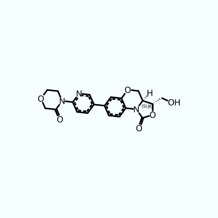 O=C1COCCN1c1ccc(-c2ccc3c(c2)OC[C@H]2[C@H](CO)OC(=O)N32)cn1